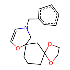 C1=CN(Cc2ccccc2)CC2(CCCC3(C2)OCCO3)O1